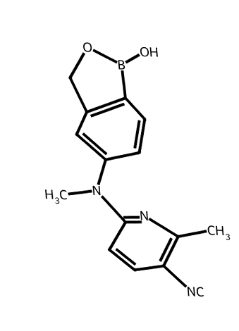 [C-]#[N+]c1ccc(N(C)c2ccc3c(c2)COB3O)nc1C